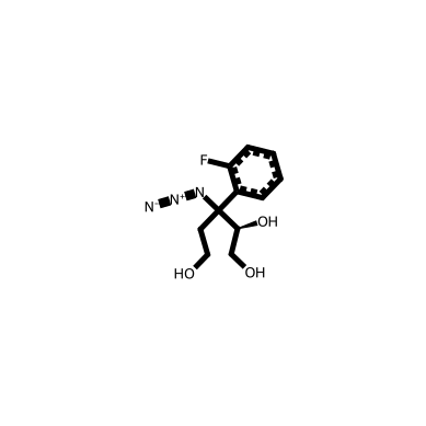 [N-]=[N+]=NC(CCO)(c1ccccc1F)[C@@H](O)CO